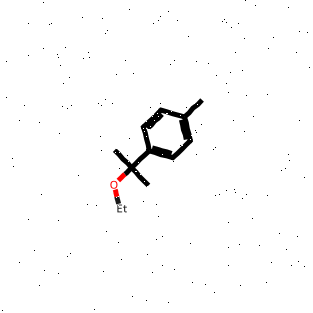 CCOC(C)(C)c1ccc(C)cc1